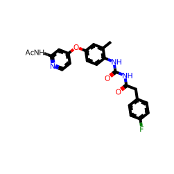 CC(=O)Nc1cc(Oc2ccc(NC(=O)NC(=O)Cc3ccc(F)cc3)c(C)c2)ccn1